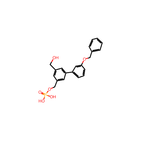 O=P(O)(O)OCc1cc(CO)cc(-c2cccc(OCc3ccccc3)c2)c1